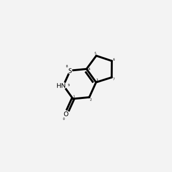 O=C1CC2=C(CCC2)SN1